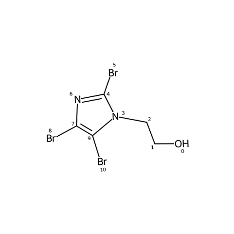 OCCn1c(Br)nc(Br)c1Br